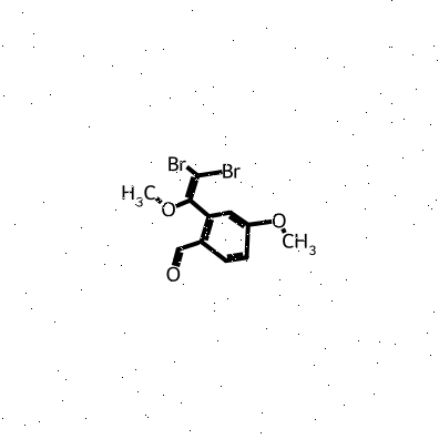 COC(=C(Br)Br)c1cc(OC)ccc1C=O